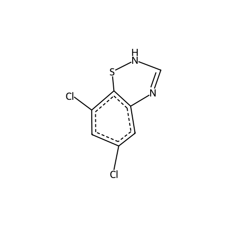 Clc1cc(Cl)c2c(c1)N=CNS2